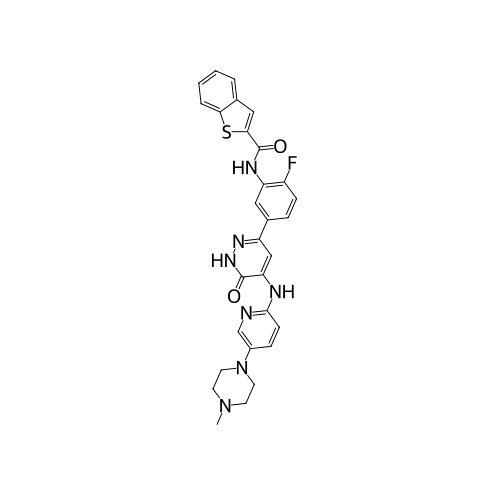 CN1CCN(c2ccc(Nc3cc(-c4ccc(F)c(NC(=O)c5cc6ccccc6s5)c4)n[nH]c3=O)nc2)CC1